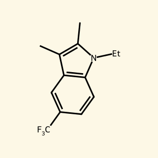 CCn1c(C)c(C)c2cc(C(F)(F)F)ccc21